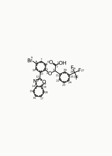 O=C(O)C(Oc1ccc(Br)cc1-c1nc2ccccc2o1)c1cccc(C(F)(F)F)c1